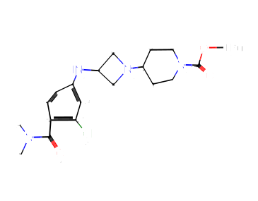 CN(C)C(=O)c1ccc(NC2CN(C3CCN(C(=O)OC(C)(C)C)CC3)C2)cc1Cl